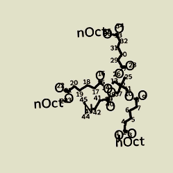 CCCCCCCCOC(=O)CCCCC(=O)OCC(COC(=O)CCCCC(=O)OCCCCCCCC)(COC(=O)CCCCC(=O)OCCCCCCCC)COC(=O)CCN(C)C